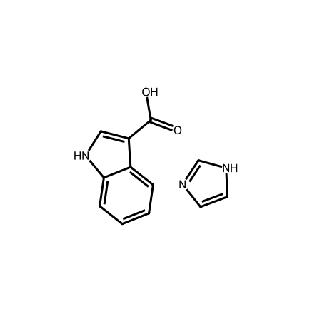 O=C(O)c1c[nH]c2ccccc12.c1c[nH]cn1